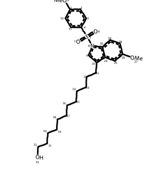 COc1ccc(S(=O)(=O)n2cc(CCCCCCCCCCCCO)c3cc(OC)ccc32)cc1